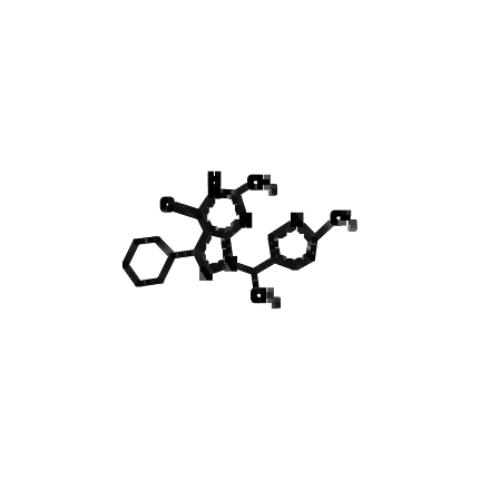 Cc1nc2c(c(C3CCCCC3)nn2C(C)c2ccc(C(F)(F)F)nc2)c(=O)[nH]1